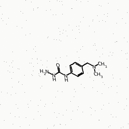 CN(C)Cc1ccc(NC(=O)NN)cc1